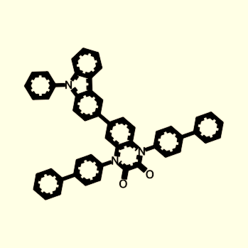 O=c1c(=O)n(-c2ccc(-c3ccccc3)cc2)c2cc(-c3ccc4c(c3)c3ccccc3n4-c3ccccc3)ccc2n1-c1ccc(-c2ccccc2)cc1